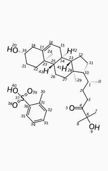 C[C@H](CCC(=O)C(C)(C)O)[C@H]1CC[C@H]2[C@@H]3CC=C4C[C@@H](O)CC[C@]4(C)[C@H]3CC[C@]12C.Cc1ccccc1S(=O)(=O)O